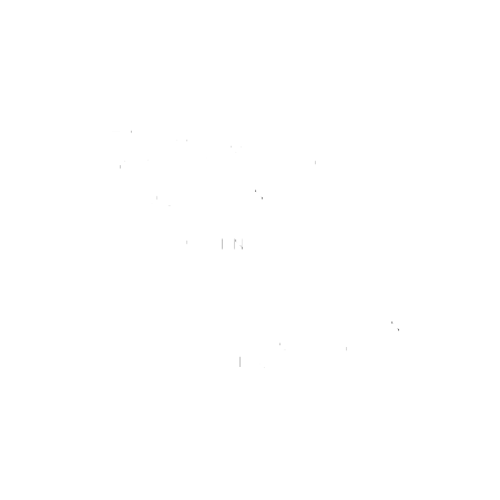 COc1cc(NC(=C2C(=O)OC(C)(C)OC2=O)N2CCOCC2)ccc1-c1cnco1